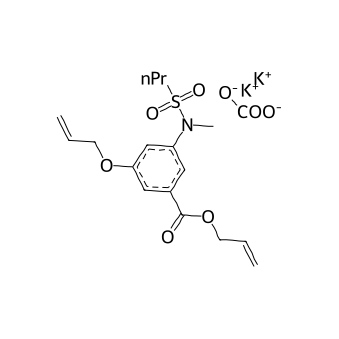 C=CCOC(=O)c1cc(OCC=C)cc(N(C)S(=O)(=O)CCC)c1.O=C([O-])[O-].[K+].[K+]